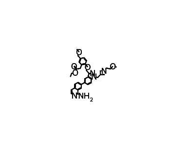 CCOC(=O)Cc1cc(COC)ccc1OCc1nn(CC2CN(CCOC)C2)c2ccc(-c3ccc4ccnc(N)c4c3)cc12